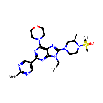 B=S(C)(=O)N1CCN(c2nc3c(N4CCOCC4)nc(-c4cnc(NC)nc4)nc3n2CC(F)(F)F)C[C@H]1C